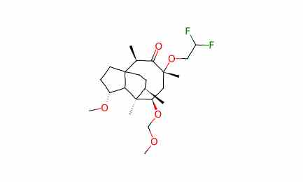 COCO[C@@H]1C[C@@](C)(OCC(F)F)C(=O)[C@H](C)C23CC[C@@H](C)[C@]1(C)C2[C@H](OC)CC3